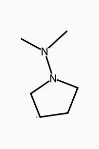 CN(C)N1C[CH]CC1